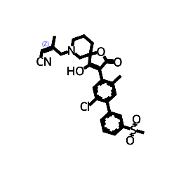 C/C(=C/C#N)CN1CCCC2(C1)OC(=O)C(c1cc(Cl)c(-c3cccc(S(C)(=O)=O)c3)cc1C)=C2O